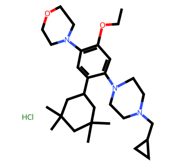 CCOc1cc(N2CCN(CC3CC3)CC2)c(C2CC(C)(C)CC(C)(C)C2)cc1N1CCOCC1.Cl